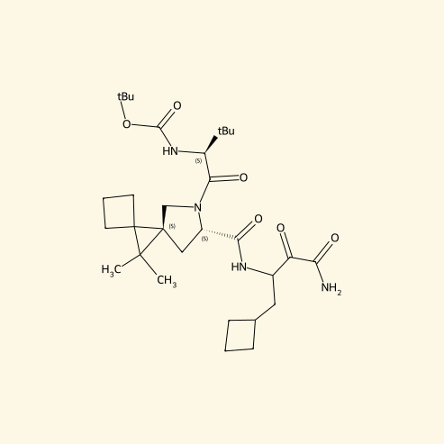 CC(C)(C)OC(=O)N[C@H](C(=O)N1C[C@@]2(C[C@H]1C(=O)NC(CC1CCC1)C(=O)C(N)=O)C(C)(C)C21CCC1)C(C)(C)C